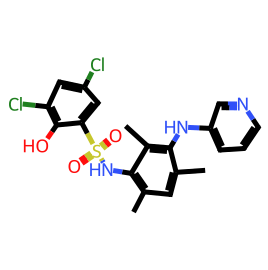 Cc1cc(C)c(NS(=O)(=O)c2cc(Cl)cc(Cl)c2O)c(C)c1Nc1cccnc1